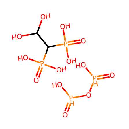 O=P(O)(O)C(C(O)O)P(=O)(O)O.O=[PH](O)O[PH](=O)O